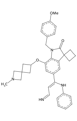 COc1ccc(CN2C(=O)C3(CCC3)c3cc(/C(=C/C=N)Nc4ccccc4)cc(OC4CC5(C4)CN(C)C5)c32)cc1